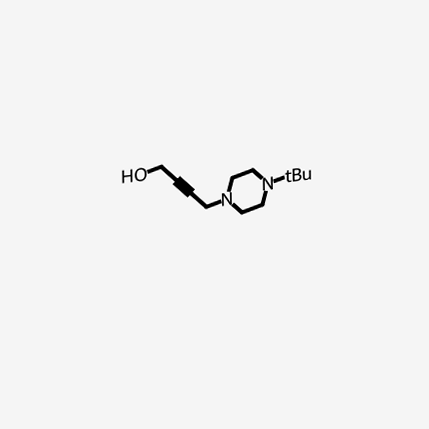 CC(C)(C)N1CCN(CC#CCO)CC1